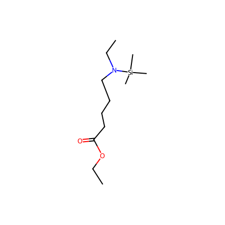 CCOC(=O)CCCCN(CC)[Si](C)(C)C